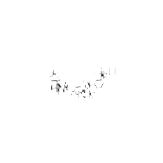 NS(=O)(=O)c1ccc2c(c1)C(=O)N(c1ccc(NC(=O)NS(=O)(=O)c3ccc(Cl)s3)cn1)C(=O)C2